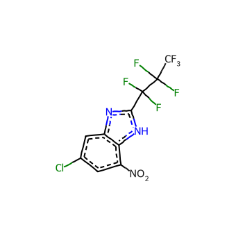 O=[N+]([O-])c1cc(Cl)cc2nc(C(F)(F)C(F)(F)C(F)(F)F)[nH]c12